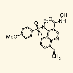 C=Cc1cccc2c(N(CC)S(=O)(=O)c3ccc(OC)cc3)c(C(=O)NO)cnc12